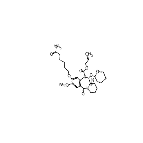 C=CCOC(=O)N1c2cc(OCCCCCC(N)=O)c(OC)cc2C(=O)N2CCCC[C@H]2C1OC1CCCCO1